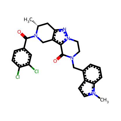 C[C@@H]1Cc2nn3c(c2CN1C(=O)c1ccc(Cl)c(Cl)c1)C(=O)N(Cc1cccc2c1ccn2C)CC3